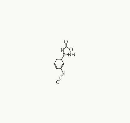 O=C=Nc1cccc(-c2nc(=O)o[nH]2)c1